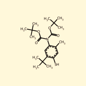 Cc1cc(S)c(C(C)(C)C)cc1N(C(=O)OC(C)(C)C)C(=O)OC(C)(C)C